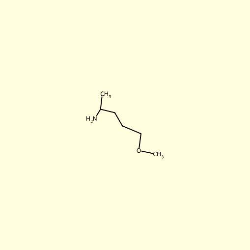 COCCCC(C)N